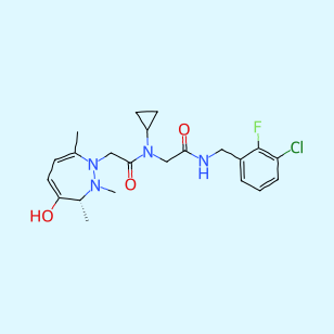 CC1=CC=C(O)[C@@H](C)N(C)N1CC(=O)N(CC(=O)NCc1cccc(Cl)c1F)C1CC1